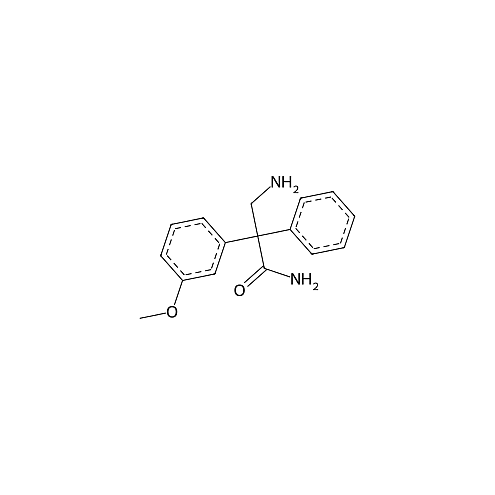 COc1cccc(C(CN)(C(N)=O)c2ccccc2)c1